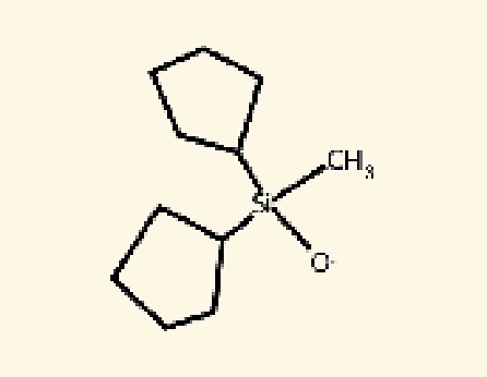 C[Si]([O])(C1CCCC1)C1CCCC1